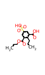 C=CCOC(=O)c1cc(S(=O)(=O)O)cc(C(=O)O)c1CC=C